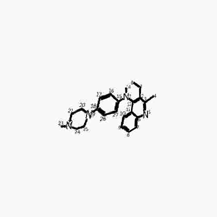 CCc1c(C)nc2ccccc2c1N(C)c1ccc(N2CCN(C)CC2)cc1